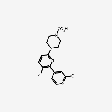 O=C(O)N1CCN(c2ccc(Br)c(-c3ccnc(Cl)c3)n2)CC1